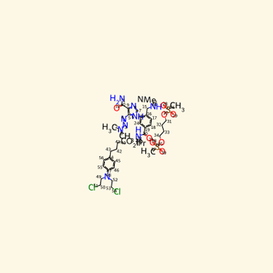 CN(C)/N=N/c1[nH]cnc1C(N)=O.CNNCc1ccc(C(=O)NC(C)C)cc1.CS(=O)(=O)OCCCCOS(C)(=O)=O.O=C(O)CCCc1ccc(N(CCCl)CCCl)cc1